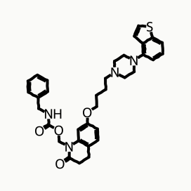 O=C(NCc1ccccc1)OCN1C(=O)CCc2ccc(OCCCCN3CCN(c4cccc5sccc45)CC3)cc21